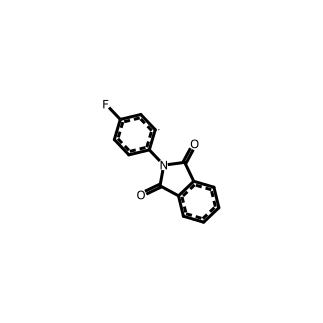 O=C1c2ccccc2C(=O)N1c1[c]cc(F)cc1